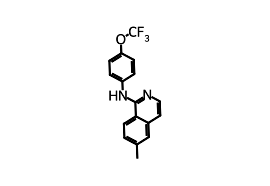 Cc1ccc2c(Nc3ccc(OC(F)(F)F)cc3)nccc2c1